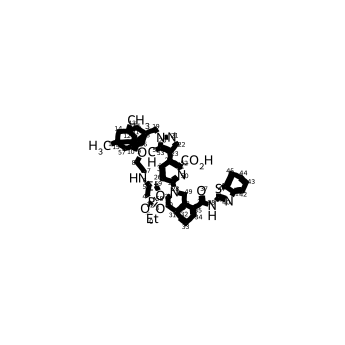 CCOP(=O)(CCNCCOC12CC3(C)CC(C)(CC(Cn4ncc(-c5ccc(N6CCc7cccc(C(=O)Nc8nc9ccccc9s8)c7C6)nc5C(=O)O)c4C)(C3)C1)C2)OCC